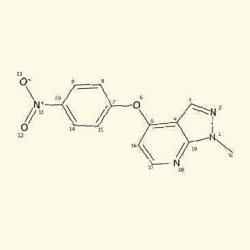 Cn1ncc2c(Oc3ccc([N+](=O)[O-])cc3)ccnc21